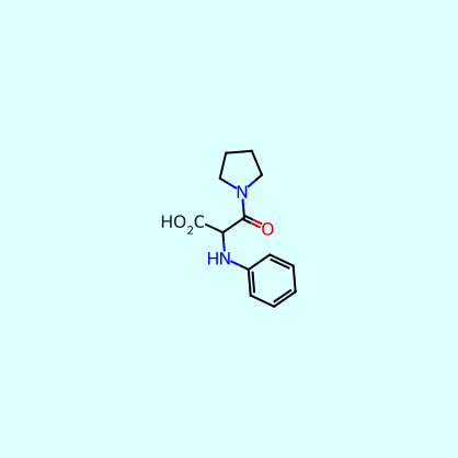 O=C(O)C(Nc1ccccc1)C(=O)N1CCCC1